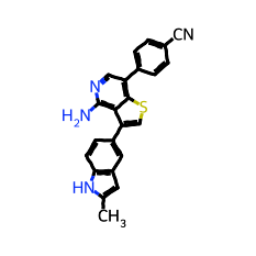 Cc1cc2cc(-c3csc4c(-c5ccc(C#N)cc5)cnc(N)c34)ccc2[nH]1